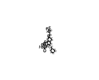 O=C1CN(c2c(OCc3ccccc3)cc3ccc(OCC4CC(F)(F)C4)cc3c2F)S(=O)(=O)N1